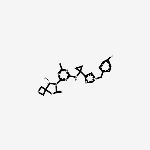 Cc1nc(NC2(c3cn(Cc4ccc(Cl)cc4)cn3)CC2)nc(N2C(=O)OC3(COC3)[C@@H]2C(C)C)n1